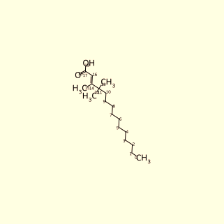 CCCCCCCCCCCC(C)(C)C(C)=CC(=O)O